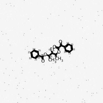 CCC(C(C)OC(=O)C(=O)c1ccccc1)C(C)OC(=O)c1ccccc1